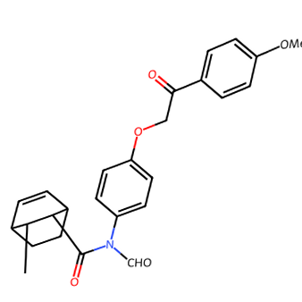 COc1ccc(C(=O)COc2ccc(N(C=O)C(=O)C3C4C=CC(CC4)C3C)cc2)cc1